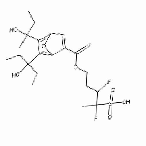 CCC(O)(CC)c1c(C(O)(CC)CC)c2oc1cc2C(=O)OCCC(F)C(F)(F)S(=O)(=O)O